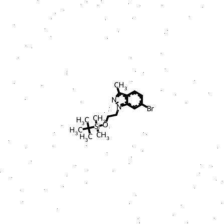 Cc1nn(CCO[Si](C)(C)C(C)(C)C)c2cc(Br)ccc12